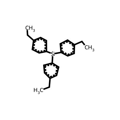 CCc1ccc([Si](c2ccc(CC)cc2)c2ccc(CC)cc2)cc1